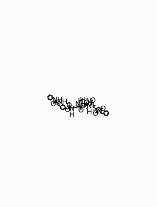 NC(=O)[C@H](CSC1CC(=O)N(Cc2ccccc2)C1=O)NC(=O)CNC(=O)[C@@H](N)CCNC(=O)Oc1ccc(C[C@H](N)C(=O)Nc2ccccc2)cc1